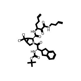 C=CCCNC(=O)C(=O)C(CCC=C)NC(=O)[C@@H]1C2C(CN1C(=O)[C@@H](NC(=O)OC(C)(C)C)C1Cc3ccccc3C1)C2(Cl)Cl